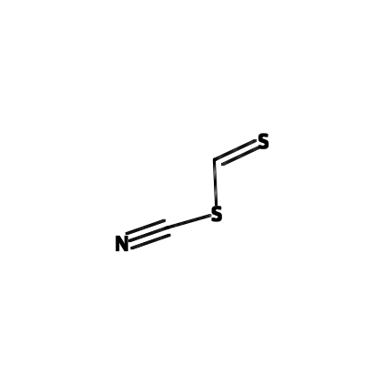 N#CSC=S